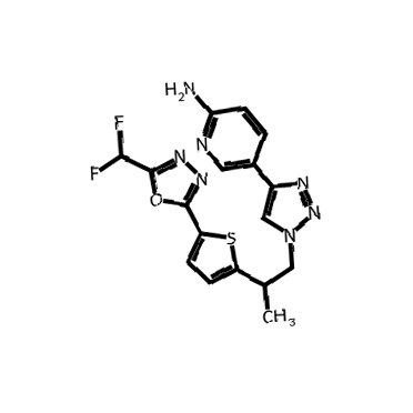 CC(Cn1cc(-c2ccc(N)nc2)nn1)c1ccc(-c2nnc(C(F)F)o2)s1